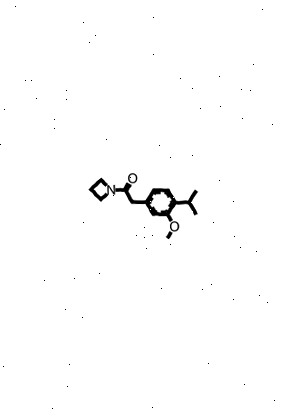 COc1cc(CC(=O)N2CCC2)ccc1C(C)C